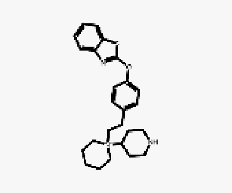 c1ccc2sc(Oc3ccc(CC[N+]4(C5CCNCC5)CCCCC4)cc3)nc2c1